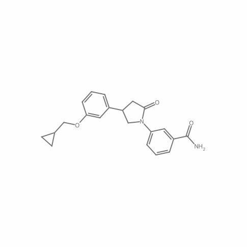 NC(=O)c1cccc(N2CC(c3cccc(OCC4CC4)c3)CC2=O)c1